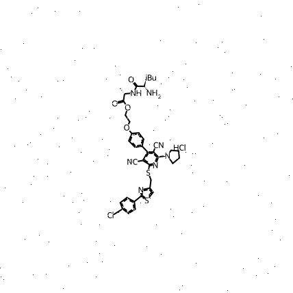 CC[C@H](C)[C@H](N)C(=O)N[C@@H](C)C(=O)OCCOc1ccc(-c2c(C#N)c(SCc3csc(-c4ccc(Cl)cc4)n3)nc(N3CCCC3)c2C#N)cc1.Cl